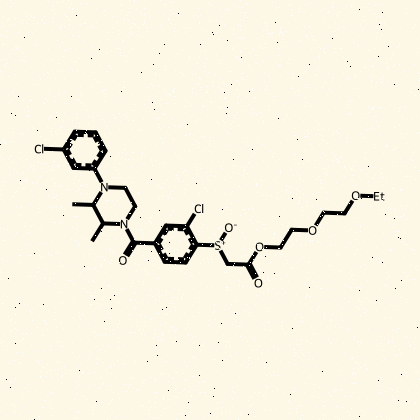 CCOCCOCCOC(=O)C[S+]([O-])c1ccc(C(=O)N2CCN(c3cccc(Cl)c3)C(C)C2C)cc1Cl